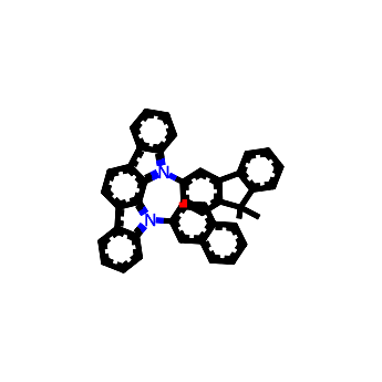 CC1(C)c2ccccc2-c2cc(-n3c4ccccc4c4ccc5c6ccccc6n(-c6ccc7ccccc7c6)c5c43)ccc21